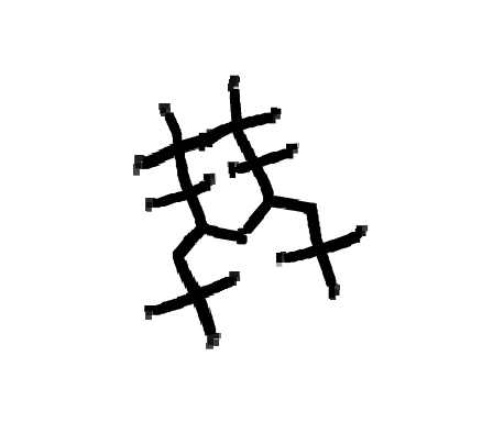 FC(F)(F)CC(SC(CC(F)(F)F)C(F)(F)C(F)(F)F)C(F)(F)C(F)(F)F